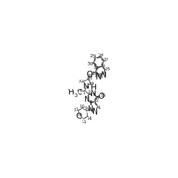 CC(c1nc2c(cnn2C2CCOCC2)c(=O)[nH]1)N1CC(Oc2nncc3ccccc23)C1